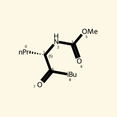 CCC[C@H](NC(=O)OC)C(=O)C(C)CC